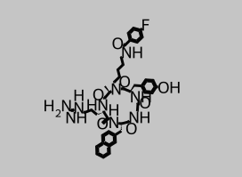 C[C@@H]1C(=O)N[C@@H](CCCNC(=N)N)C(=O)N[C@@H](Cc2ccc3ccccc3c2)C(=O)NCC(=O)N[C@H](Cc2ccc(O)cc2)C(=O)N1CCCCCNC(=O)c1ccc(F)cc1